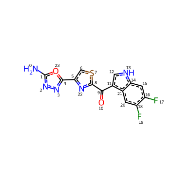 Nc1nnc(-c2csc(C(=O)c3c[nH]c4cc(F)c(F)cc34)n2)o1